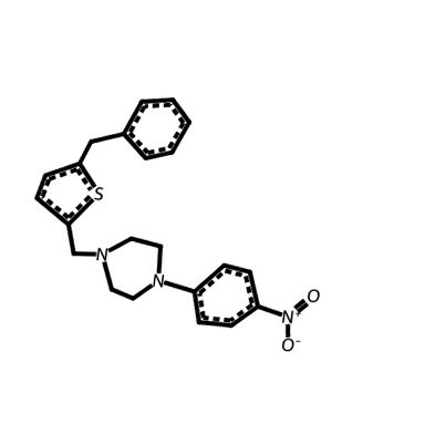 O=[N+]([O-])c1ccc(N2CCN(Cc3ccc(Cc4ccccc4)s3)CC2)cc1